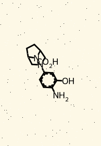 Nc1ccc(N2CC3CCC(C2)N3C(=O)O)cc1O